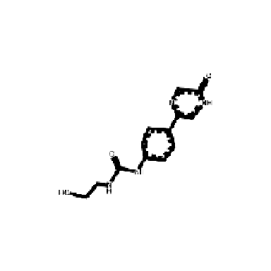 O=C(NCCO)Nc1ccc(-c2c[nH]c(=O)cn2)cc1